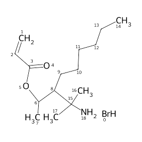 Br.C=CC(=O)OC(C)C(CCCCCC)C(C)(C)N